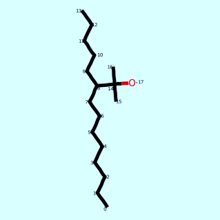 CCCCCCCCC(CCCCC)C(C)(C)[O]